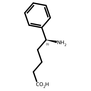 N[C@@H](CCCC(=O)O)c1ccccc1